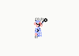 CCNC(=O)Nc1ncnc2c1ncn2C1OC(C(=O)NCC(=O)OCC)C2O[C@H](/C=C/c3ccccc3)OC21